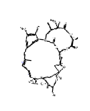 COc1cc2cc(c1Cl)N1CC(C)C(C)(O)C(=O)N[C@@H](C)C(=O)O[C@@H](CC1=O)[C@@]1(C)CC(C)(O1)[C@@H]1C[C@@](O)(NC(O)O1)[C@H](OC)/C=C/C=C(\C)C2